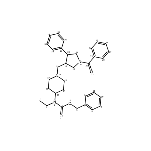 CCN(C(=O)OCc1ccccc1)C1CCN(CC2CN(C(=O)c3ccccc3)CC2c2ccccc2)CC1